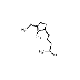 BC(C)CCCC1CC/C(=N/C)N1C